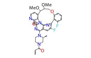 C=CC(=O)N1CCN(c2nc(=O)n3c4nc(c(F)cc24)-c2c(F)cccc2OCC(OC)C(OC)c2ccnc(C(C)C)c2-3)[C@@H](C)C1